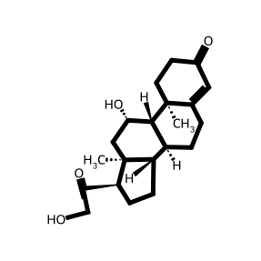 C[C@]12C[C@H](O)[C@H]3[C@@H](CCC4=CC(=O)CC[C@@]43C)[C@@H]1CC[C@H]2C(=O)CO